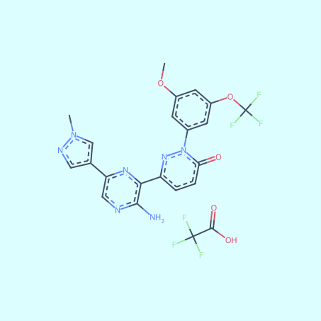 COc1cc(OC(F)(F)F)cc(-n2nc(-c3nc(-c4cnn(C)c4)cnc3N)ccc2=O)c1.O=C(O)C(F)(F)F